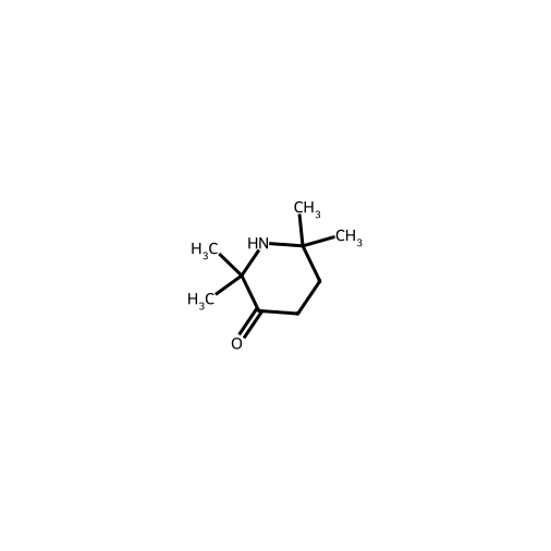 CC1(C)CCC(=O)C(C)(C)N1